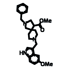 COC(=O)C1CN(Cc2ccccc2)CC12CCN(Cc1c[nH]c3ccc(OC)cc13)CC2